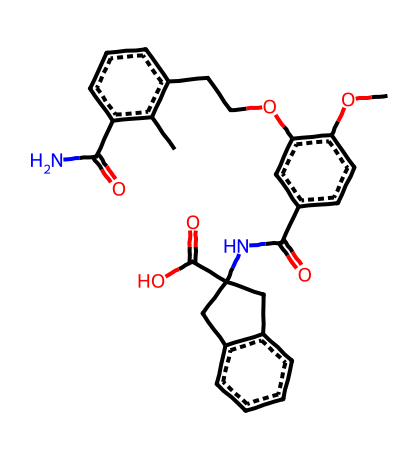 COc1ccc(C(=O)NC2(C(=O)O)Cc3ccccc3C2)cc1OCCc1cccc(C(N)=O)c1C